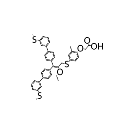 CCOC(CSc1ccc(OCC(=O)O)c(C)c1)=C(c1ccc(-c2cccc(SC)c2)cc1)c1ccc(-c2cccc(SC)c2)cc1